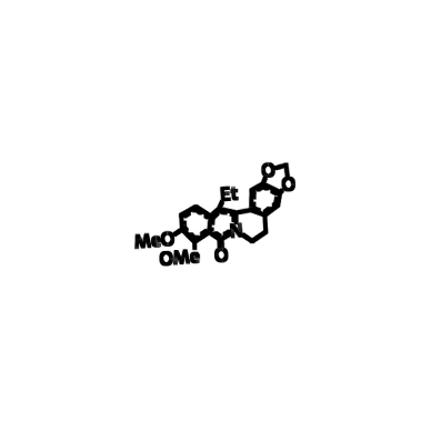 CCc1c2n(c(=O)c3c(OC)c(OC)ccc13)CCc1cc3c(cc1-2)OCO3